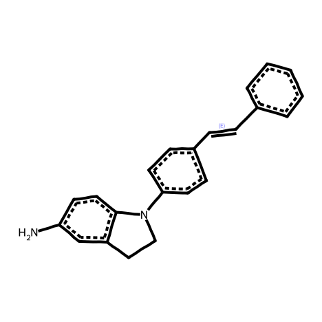 Nc1ccc2c(c1)CCN2c1ccc(/C=C/c2ccccc2)cc1